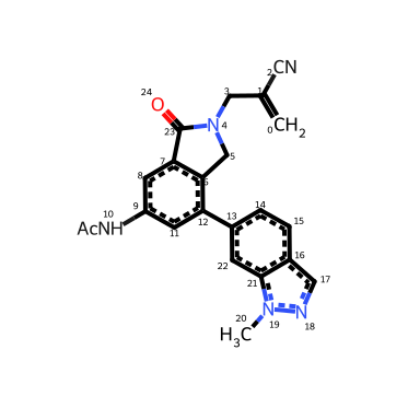 C=C(C#N)CN1Cc2c(cc(NC(C)=O)cc2-c2ccc3cnn(C)c3c2)C1=O